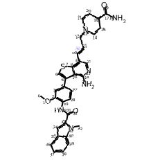 COc1cc(-c2csc3c(/C=C/CN4CCC(C(N)=O)CC4)cnc(N)c23)ccc1NC(=O)c1cc2ccccc2n1C